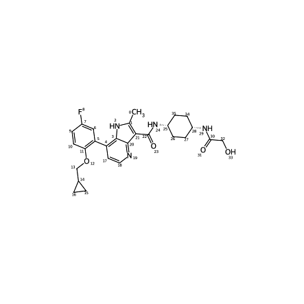 Cc1[nH]c2c(-c3cc(F)ccc3OCC3CC3)ccnc2c1C(=O)N[C@H]1CC[C@@H](NC(=O)CO)CC1